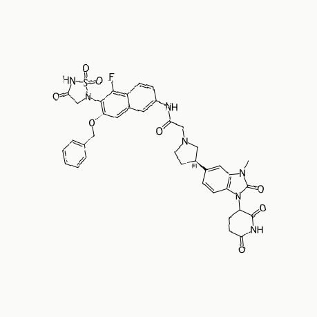 Cn1c(=O)n(C2CCC(=O)NC2=O)c2ccc([C@H]3CCN(CC(=O)Nc4ccc5c(F)c(N6CC(=O)NS6(=O)=O)c(OCc6ccccc6)cc5c4)C3)cc21